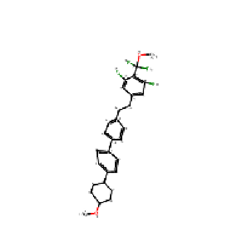 CCCCOC1CCC(c2ccc(-c3ccc(CCc4cc(F)c(C(F)(F)OC(F)(F)F)c(F)c4)cc3)cc2)CC1